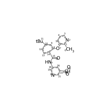 Cc1ncccc1Oc1cc(C(C)(C)C)ccc1C(=O)Nc1cncc([SH](=O)=O)c1